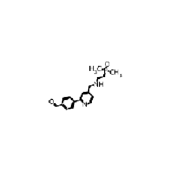 CP(C)(=O)CCNCc1ccnc(-c2ccc(C=O)cc2)c1